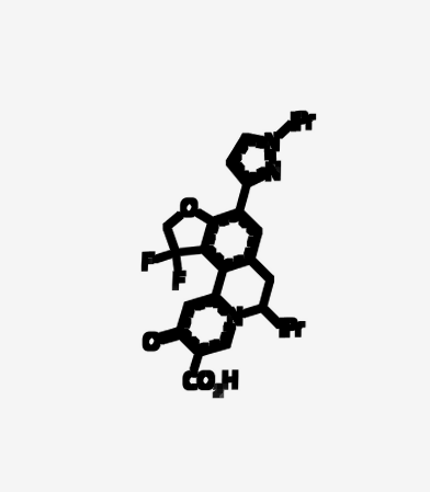 CC(C)C1Cc2cc(-c3ccn(C(C)C)n3)c3c(c2-c2cc(=O)c(C(=O)O)cn21)C(F)(F)CO3